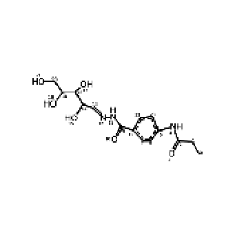 CCC(=O)Nc1ccc(C(=O)N/N=C/C(O)C(O)C(O)CO)cc1